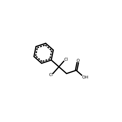 O=C(O)CC(Cl)(Cl)c1ccccc1